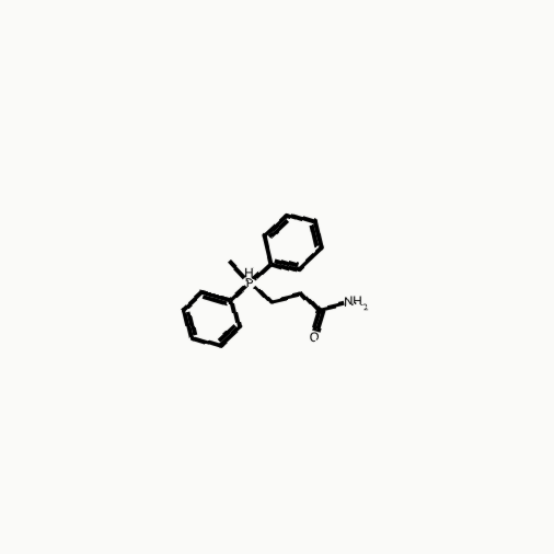 C[PH](CCC(N)=O)(c1ccccc1)c1ccccc1